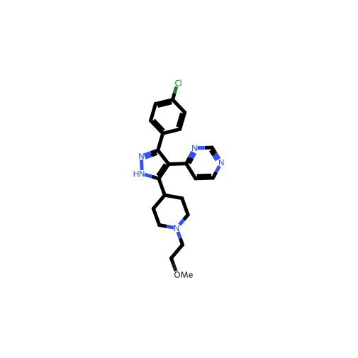 COCCN1CCC(c2[nH]nc(-c3ccc(Cl)cc3)c2-c2ccncn2)CC1